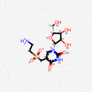 NCCS(=O)(=O)Cc1cn([C@@H]2O[C@H](CO)[C@@H](O)[C@H]2O)c(=O)[nH]c1=O